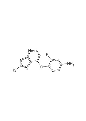 Nc1ccc(Oc2ccnc3cc(S)sc23)c(F)c1